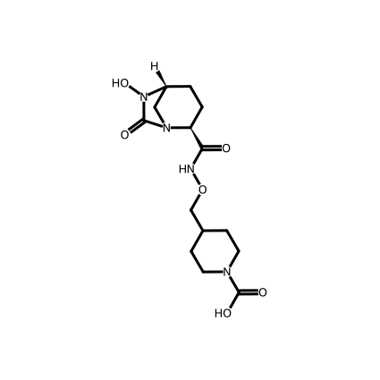 O=C(NOCC1CCN(C(=O)O)CC1)[C@@H]1CC[C@@H]2CN1C(=O)N2O